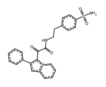 NS(=O)(=O)c1ccc(CCNC(=O)C(=O)c2c(-c3ccccc3)cc3ccccn23)cc1